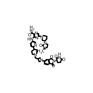 CN1CCN([C@@H]2CCCN(c3cnc(C(N)=O)c(Nc4ccc(C5CCN(CC6CN(c7ccc8c(c7)C(=O)N([C@@H]7CCC(=O)NC7=O)C8=O)C6)CC5)nc4)n3)C2)C1=O